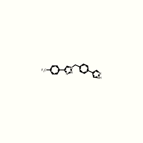 FC(F)(F)c1ccc(-c2cn(Cc3ccc(-c4cn[nH]c4)cc3)nn2)cc1